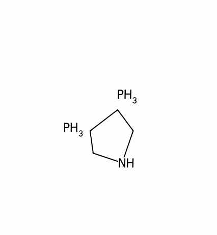 C1CCNC1.P.P